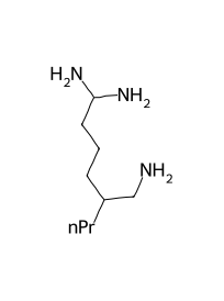 CCCC(CN)CCCC(N)N